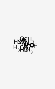 CC(C)c1nc(N(C)C(=O)OS)nc(-c2ccc(F)cc2)c1CO